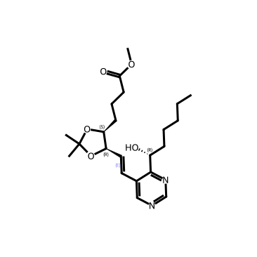 CCCCC[C@@H](O)c1ncncc1/C=C/[C@H]1OC(C)(C)O[C@H]1CCCC(=O)OC